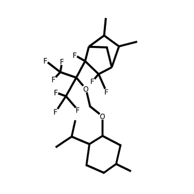 CC1CCC(C(C)C)C(OCOC(C(F)(F)F)(C(F)(F)F)C2(F)C3CC(C(C)C3C)C2(F)F)C1